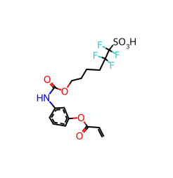 C=CC(=O)Oc1cccc(NC(=O)OCCCCC(F)(F)C(F)(F)S(=O)(=O)O)c1